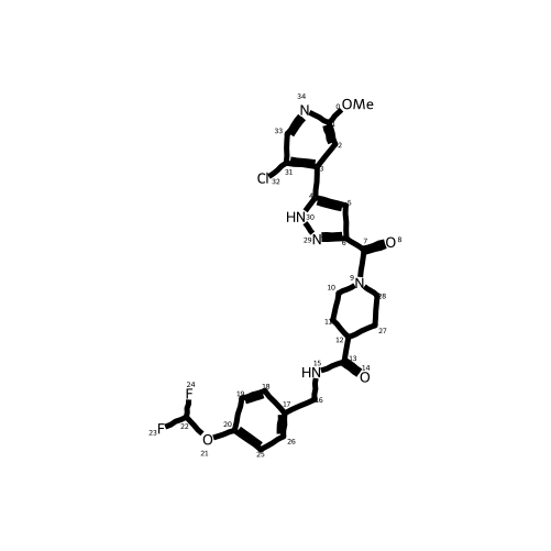 COc1cc(-c2cc(C(=O)N3CCC(C(=O)NCc4ccc(OC(F)F)cc4)CC3)n[nH]2)c(Cl)cn1